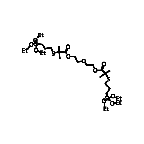 CCO[Si](CCCSC(C)(C)C(=O)OCCOCCOC(=O)C(C)(C)SCCC[Si](OCC)(OCC)OCC)(OCC)OCC